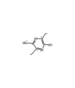 CCc1nc(C)c(C(C)(C)C)nc1C